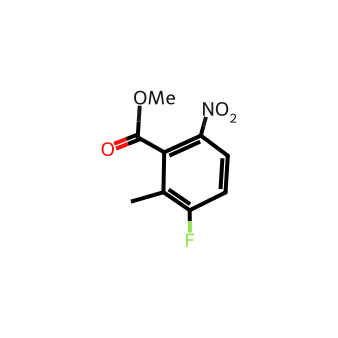 COC(=O)c1c([N+](=O)[O-])ccc(F)c1C